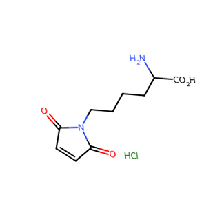 Cl.NC(CCCCN1C(=O)C=CC1=O)C(=O)O